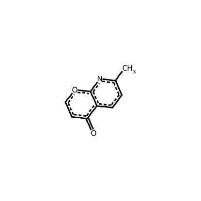 Cc1ccc2c(=O)ccoc2n1